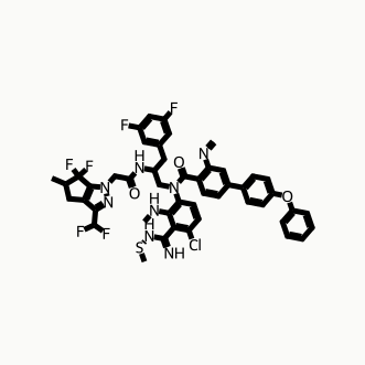 C=Nc1cc(-c2ccc(Oc3ccccc3)cc2)ccc1C(=O)N(CC(Cc1cc(F)cc(F)c1)NC(=O)Cn1nc(C(F)F)c2c1C(F)(F)C(C)C2)c1ccc(Cl)c(C(=N)NSC)c1NC